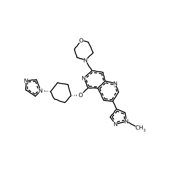 Cn1cc(-c2cnc3cc(N4CCOCC4)nc(O[C@H]4CC[C@@H](n5ccnc5)CC4)c3c2)cn1